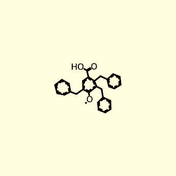 COc1c(Cc2ccccc2)cc(C(=O)O)c(Cc2ccccc2)c1Cc1ccccc1